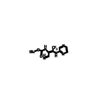 CC(C)(C)OC(=O)N/C(C=N)=C(/Nc1cnccn1)C(F)(F)F